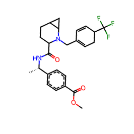 COC(=O)c1ccc([C@H](C)NC(=O)C2CCC3CC3N2CC2=CCC(C(F)(F)F)C=C2)cc1